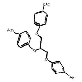 CC(=O)Oc1ccc(OCC(COc2ccc(OC(C)=O)cc2)Oc2ccc(OC(C)=O)cc2)cc1